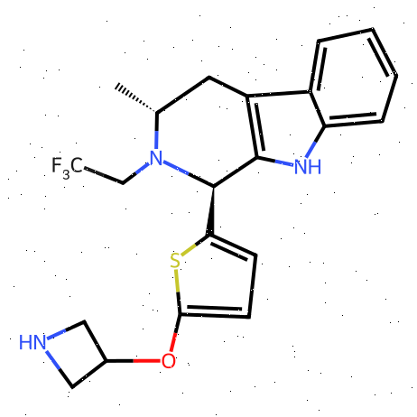 C[C@@H]1Cc2c([nH]c3ccccc23)[C@@H](c2ccc(OC3CNC3)s2)N1CC(F)(F)F